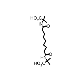 CC(C)(NC(=O)CCCCCCCC(=O)NC(C)(C)C(=O)O)C(=O)O